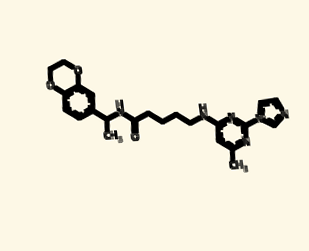 Cc1cc(NCCCCC(=O)NC(C)c2ccc3c(c2)OCCO3)nc(-n2ccnc2)n1